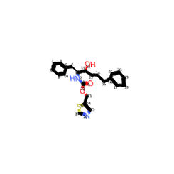 O=C(N[C@@H](Cc1ccccc1)[C@@H](O)C[CH]Cc1ccccc1)OCc1cncs1